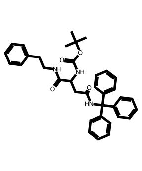 CC(C)(C)OC(=O)NC(CC(=O)NC(c1ccccc1)(c1ccccc1)c1ccccc1)C(=O)NCCc1ccccc1